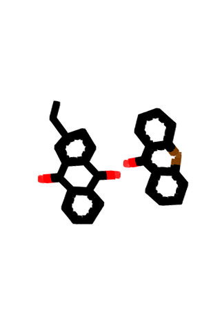 CCc1ccc2c(c1)C(=O)c1ccccc1C2=O.O=c1c2ccccc2sc2ccccc12